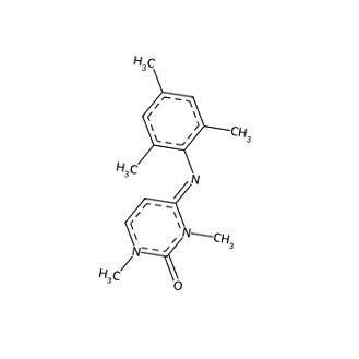 Cc1cc(C)c(N=c2ccn(C)c(=O)n2C)c(C)c1